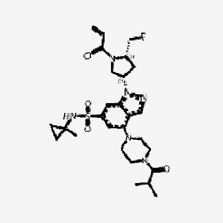 C=CC(=O)N1C[C@@H](n2ncc3c(N4CCN(C(=O)C(C)C)CC4)cc(S(=O)(=O)NC4(C)CC4)cc32)C[C@H]1CF